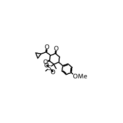 COc1ccc(C2CC(=O)C(C(=O)C3CC3)C(=O)C2(C)S(C)(=O)=O)cc1